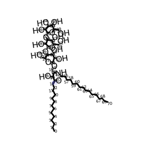 CCCCCCCCCCCCC/C=C/[C@@H](O)[C@H](CO[C@@H]1OC(CO)[C@@H](O[C@@H]2OC(CO)[C@H](O)[C@H](O[C@H]3OC(CO)[C@H](O)[C@H](O)C3O)C2O)[C@H](O)C1O)NC(=O)CCCCCCCCCCCCCCC